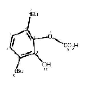 CC(C)(C)c1ccc(C(C)(C)C)c(OC(=O)O)c1O